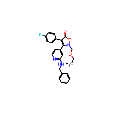 CCOCn1oc(=O)c(-c2ccc(F)cc2)c1-c1ccnc(NCc2ccccc2)c1